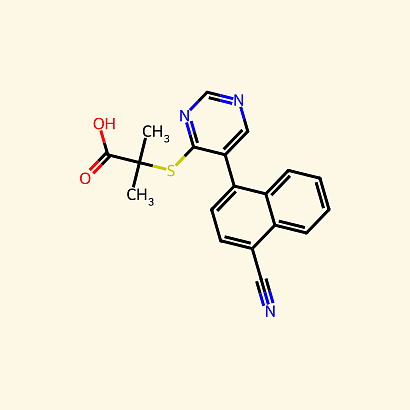 CC(C)(Sc1ncncc1-c1ccc(C#N)c2ccccc12)C(=O)O